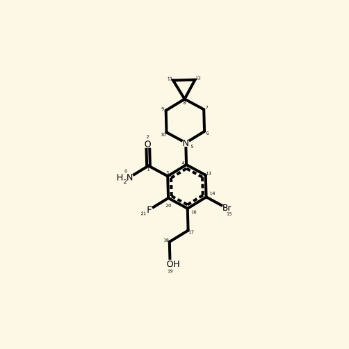 NC(=O)c1c(N2CCC3(CC2)CC3)cc(Br)c(CCO)c1F